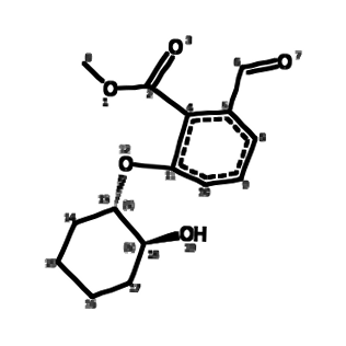 COC(=O)c1c(C=O)cccc1O[C@H]1CCCC[C@@H]1O